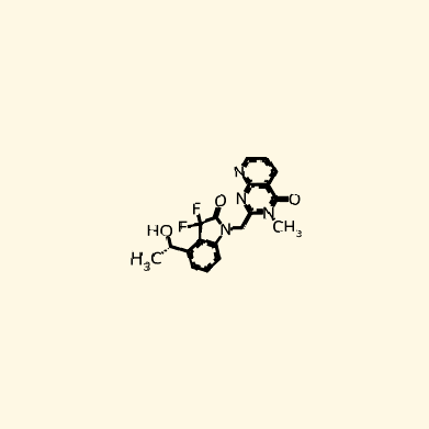 C[C@H](O)c1cccc2c1C(F)(F)C(=O)N2Cc1nc2ncccc2c(=O)n1C